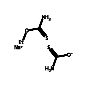 CCOC(N)=S.NC([O-])=S.[Na+]